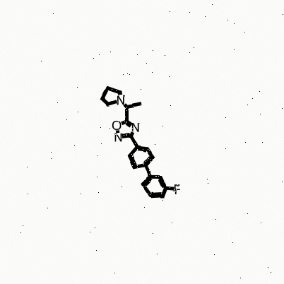 CC(c1nc(-c2ccc(-c3cccc(F)c3)cc2)no1)N1CCCC1